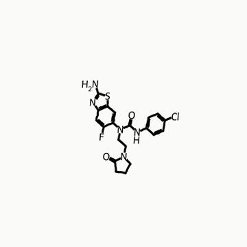 Nc1nc2cc(F)c(N(CCN3CCCC3=O)C(=O)Nc3ccc(Cl)cc3)cc2s1